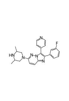 CC1CN(c2ccc3nc(-c4cccc(F)c4)c(-c4ccncc4)n3n2)CC(C)N1